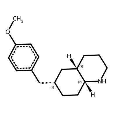 COc1ccc(C[C@H]2CC[C@H]3NCCC[C@H]3C2)cc1